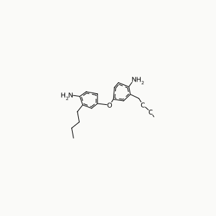 CCCCc1cc(Oc2ccc(N)c(CCCC)c2)ccc1N